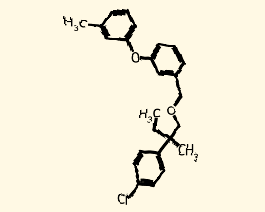 CCC(C)(COCc1cccc(Oc2cccc(C)c2)c1)c1ccc(Cl)cc1